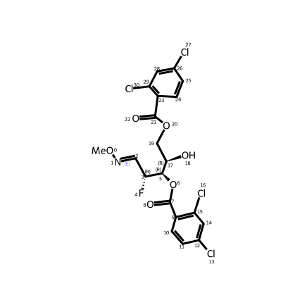 CO/N=C/[C@@H](F)[C@H](OC(=O)c1ccc(Cl)cc1Cl)[C@H](O)COC(=O)c1ccc(Cl)cc1Cl